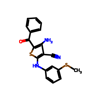 CSc1cccc(Nc2sc(C(=O)c3ccccc3)c(N)c2C#N)c1